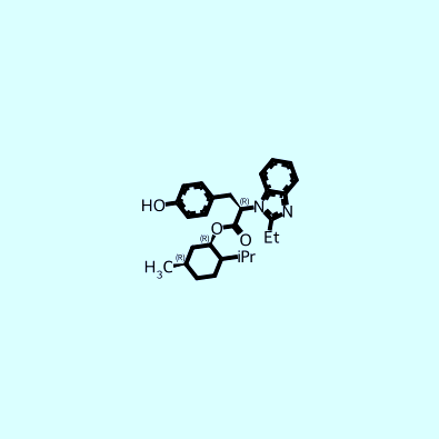 CCc1nc2ccccc2n1[C@H](Cc1ccc(O)cc1)C(=O)O[C@@H]1C[C@H](C)CCC1C(C)C